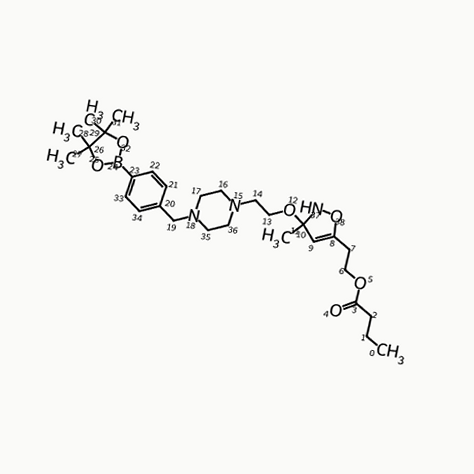 CCCC(=O)OCCC1=CC(C)(OCCN2CCN(Cc3ccc(B4OC(C)(C)C(C)(C)O4)cc3)CC2)NO1